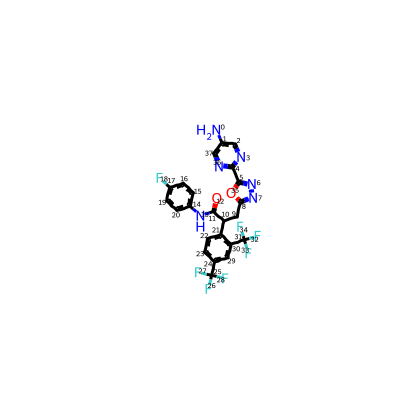 Nc1cnc(-c2nnc(CC(C(=O)Nc3ccc(F)cc3)c3ccc(C(F)(F)F)cc3C(F)(F)F)o2)nc1